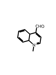 C[N+]1=CC=C(C=O)C2C=CC=CC21